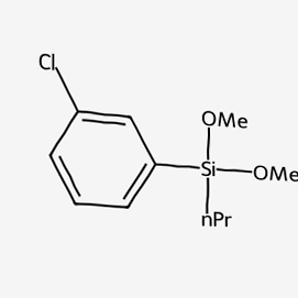 CCC[Si](OC)(OC)c1cccc(Cl)c1